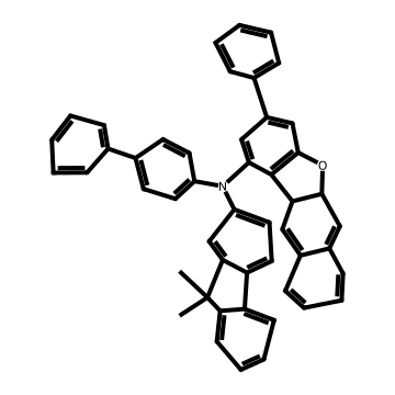 CC1(C)c2ccccc2-c2ccc(N(c3ccc(-c4ccccc4)cc3)c3cc(-c4ccccc4)cc4c3C3C=c5ccccc5=CC3O4)cc21